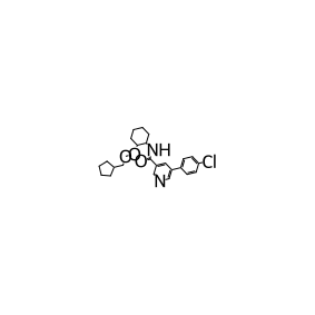 O=C(N[C@@H]1CCCC[C@H]1OOCC1CCCC1)c1cncc(-c2ccc(Cl)cc2)c1